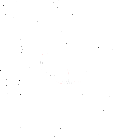 [Li+].[Li+].[Li+].[Li+].[O-2].[O]=[Mn](=[O])([O-])[O-]